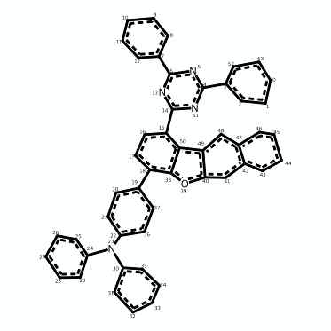 c1ccc(-c2nc(-c3ccccc3)nc(-c3ccc(-c4ccc(N(c5ccccc5)c5ccccc5)cc4)c4oc5cc6ccccc6cc5c34)n2)cc1